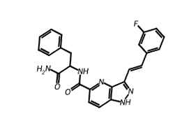 NC(=O)C(Cc1ccccc1)NC(=O)c1ccc2[nH]nc(/C=C/c3cccc(F)c3)c2n1